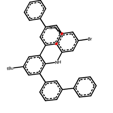 CC(C)(C)c1cc(Br)cc(Nc2c(-c3cccc(-c4ccccc4)c3)cc(C(C)(C)C)cc2-c2cccc(-c3ccccc3)c2)c1